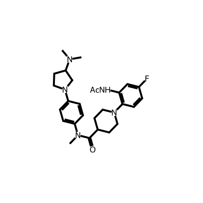 CC(=O)Nc1cc(F)ccc1N1CCC(C(=O)N(C)c2ccc(N3CCC(N(C)C)C3)cc2)CC1